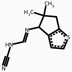 CC1(C)Cc2sccc2C1/N=C/NC#N